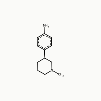 CN1CCC[C@@H](c2ccc(N)cc2)C1